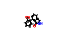 O=C1NCc2ccccc21.Oc1ccccc1